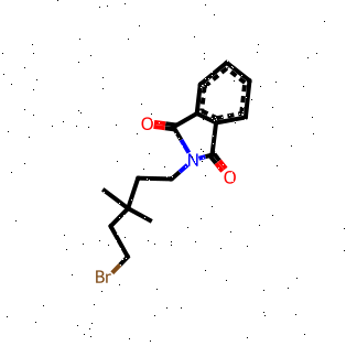 CC(C)(CCBr)CCN1C(=O)c2ccccc2C1=O